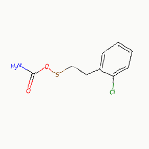 NC(=O)OSCCc1ccccc1Cl